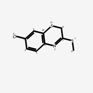 CSC1=Nc2ccc(Cl)cc2SC1